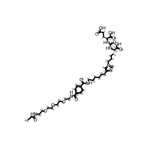 O=C(O)CC[C@H](NC(=O)N[C@@H](CCCCn1cc(CCCCCCNC(=O)c2ccc(C(=O)NCCOCCOCCOCCNC(=O)CI)cc2)nn1)C(=O)O)C(=O)O